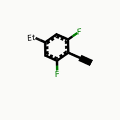 C#Cc1c(F)cc(CC)cc1F